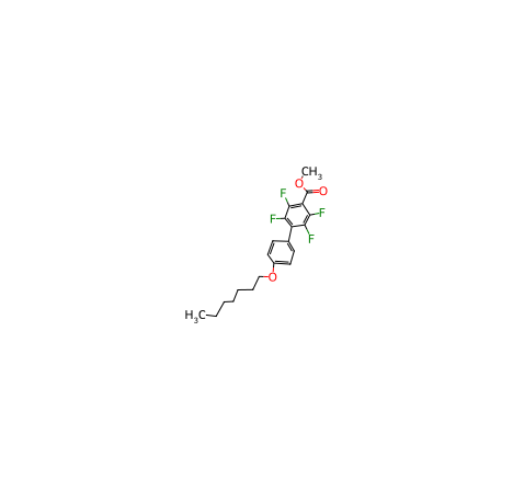 CCCCCCCOc1ccc(-c2c(F)c(F)c(C(=O)OC)c(F)c2F)cc1